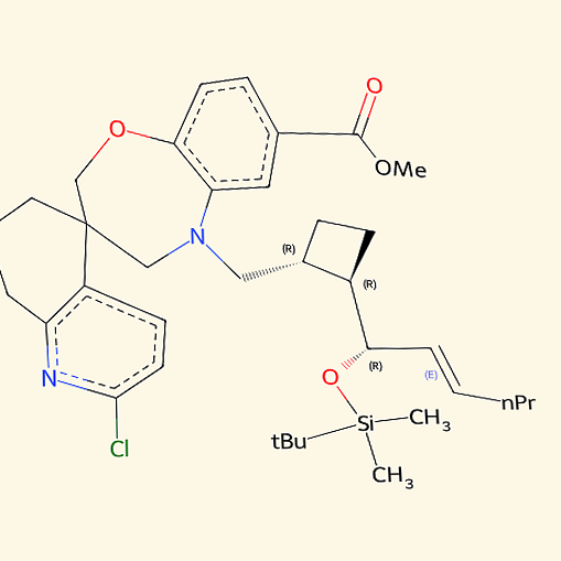 CCC/C=C/[C@H](O[Si](C)(C)C(C)(C)C)[C@@H]1CC[C@H]1CN1CC2(CCCc3nc(Cl)ccc32)COc2ccc(C(=O)OC)cc21